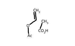 C=COC(C)=O.CC(=O)O